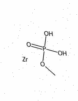 COP(=O)(O)O.[Zr]